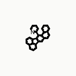 c1ccc(-c2c3c(cc4ccc5ccccc5c24)-c2cccc4cccc-3c24)nc1